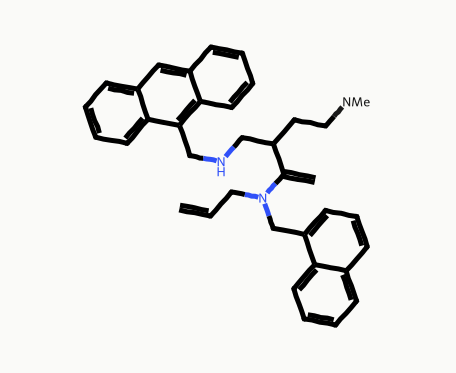 C=CCN(Cc1cccc2ccccc12)C(=C)C(CCNC)CNCc1c2ccccc2cc2ccccc12